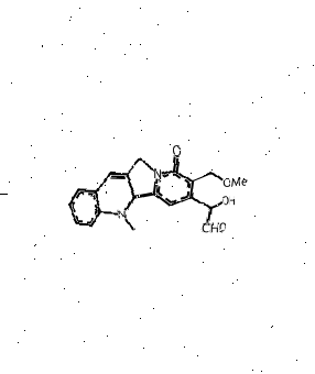 COCc1c(C(O)C=O)cc2n(c1=O)CC1=Cc3ccccc3N(C)C12